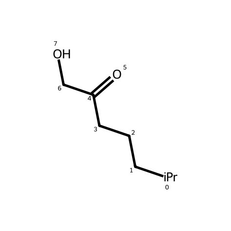 CC(C)CCCC(=O)CO